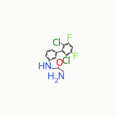 NCC1CNc2cccc(-c3c(Cl)c(F)cc(F)c3Cl)c2O1